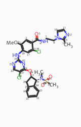 COc1cc(C(=O)NCCn2ccnc2C)c(Cl)cc1Nc1ncc(Cl)c(O[C@@H]2Cc3ccccc3[C@H]2N(C)S(C)(=O)=O)n1